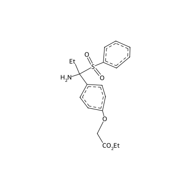 CCOC(=O)COc1ccc(C(N)(CC)S(=O)(=O)c2ccccc2)cc1